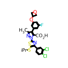 Cc1nn(-c2nc(-c3ccc(Cl)c(Cl)c3)c(SC(C)C)s2)c(C(=O)O)c1-c1cc(F)cc(OC2COC2)c1